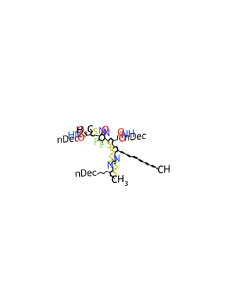 C#CC#CC#CC#CC#CC#CC#Cc1cc(-c2sc(-c3c(F)c(F)c(-c4cc(CCS(=O)(=O)NCCCCCCCCCC)c(C)s4)c4nonc34)cc2CCS(=O)(=O)NCCCCCCCCCC)sc1-c1nc2sc(-c3sc(C)cc3CCCCCCCCCCCCCC)nc2s1